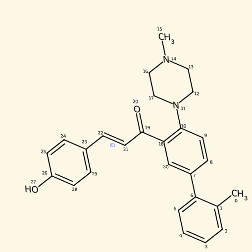 Cc1ccccc1-c1ccc(N2CCN(C)CC2)c(C(=O)/C=C/c2ccc(O)cc2)c1